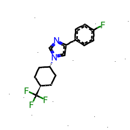 Fc1ccc(-c2cn([C@H]3CC[C@H](C(F)(F)F)CC3)cn2)cc1